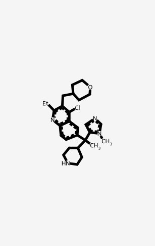 CCc1nc2ccc(C(C)(c3cncn3C)C3CCNCC3)cc2c(Cl)c1CC1CCOCC1